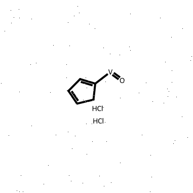 Cl.Cl.[O]=[V][C]1=CC=CC1